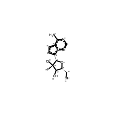 Nc1ncnn2c([C@@H]3O[C@H](CO)C(O)[C@]3(F)Cl)ccc12